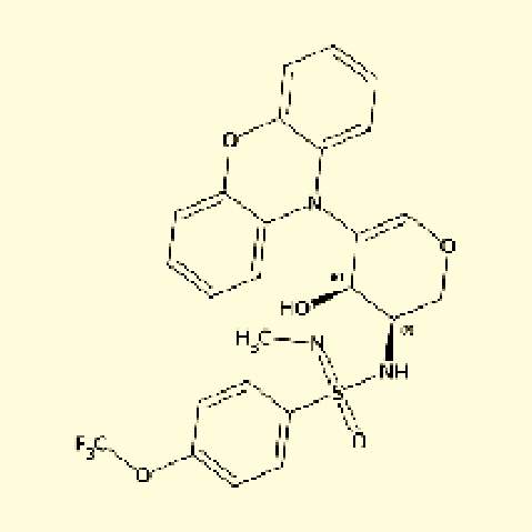 CN=S(=O)(N[C@@H]1COC=C(N2c3ccccc3Oc3ccccc32)[C@@H]1O)c1ccc(OC(F)(F)F)cc1